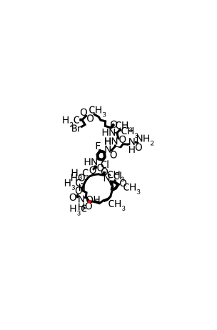 C=C(CBr)C(=O)OC(C)CCCCC(=O)N[C@H](C(=O)N[C@@H](CCCNC(N)=O)C(=O)Nc1cc(Cl)c(NC(=O)O[C@H]2CC(=O)N(C)c3cc(cc(OC)c3Cl)C/C(C)=C/C=C/[C@@H](OC)[C@@]3(O)C[C@H](OC(=O)N3)[C@@H](C)[C@H](O)C2C)cc1F)C(C)C